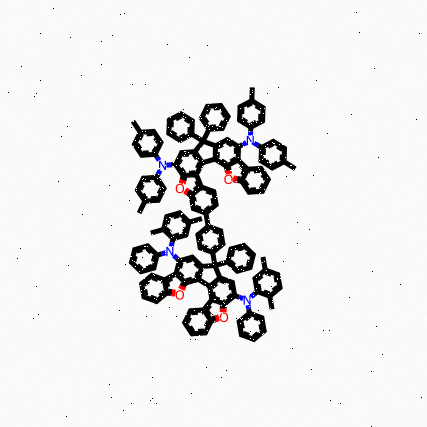 Cc1ccc(N(c2ccc(C)cc2)c2cc3c(c4c2oc2cc(-c5ccc(C6(c7ccccc7)c7cc(N(c8ccccc8)c8cc(C)ccc8C)c8c(oc9ccccc98)c7-c7c6cc(N(c6ccccc6)c6cc(C)ccc6C)c6oc8ccccc8c76)cc5)ccc24)-c2c(cc(N(c4ccc(C)cc4)c4ccc(C)cc4)c4c2oc2ccccc24)C3(c2ccccc2)c2ccccc2)cc1